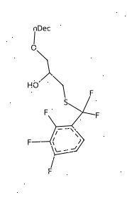 CCCCCCCCCCOCC(O)CSC(F)(F)c1ccc(F)c(F)c1F